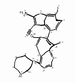 N#Cc1c(N)sc2c(F)ccc(-c3c(Cl)cc4c([C@@H]5CCCNC5)ncnc4c3F)c12